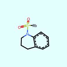 O=[S](=O)([Rb])N1CCCc2ccccc21